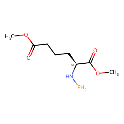 COC(=O)CCC[C@H](NP)C(=O)OC